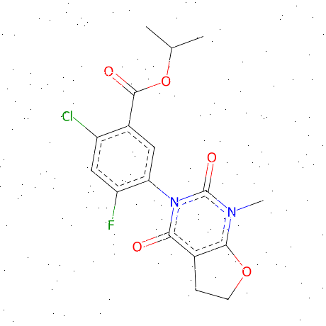 CC(C)OC(=O)c1cc(-n2c(=O)c3c(n(C)c2=O)OCC3)c(F)cc1Cl